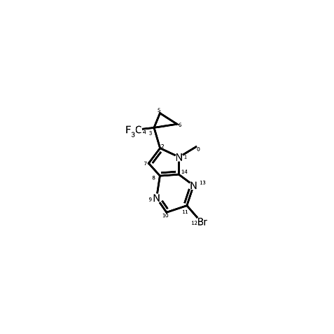 Cn1c(C2(C(F)(F)F)CC2)cc2ncc(Br)nc21